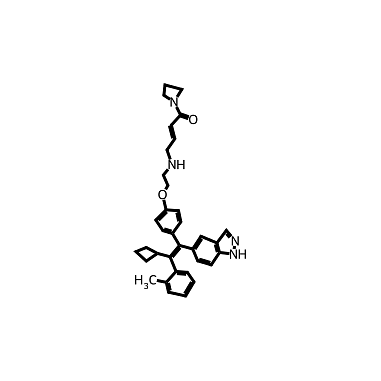 Cc1ccccc1C(=C(c1ccc(OCCNCC=CC(=O)N2CCC2)cc1)c1ccc2[nH]ncc2c1)C1CCC1